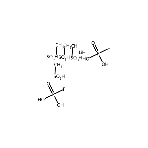 CS(=O)(=O)O.CS(=O)(=O)O.CS(=O)(=O)O.CS(=O)(=O)O.O=P(O)(O)F.O=P(O)(O)F.[LiH]